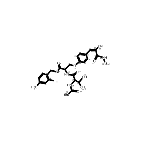 Cc1ccc(CNC(=O)C(COc2ccc(C=C(C#N)C(=O)NC(C)(C)C)cc2)NC(=O)C(NC(=O)C(C)(C)C)C(C)O)c(F)c1